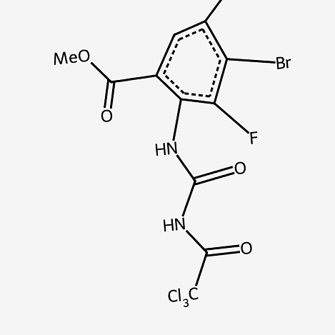 COC(=O)c1cc(OC(F)(F)F)c(Br)c(F)c1NC(=O)NC(=O)C(Cl)(Cl)Cl